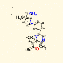 C/C=C(/C(=O)C(C)(C)C)c1nc(-c2cccc(N3CCC(C)(CN)C3)c2)cnc1C